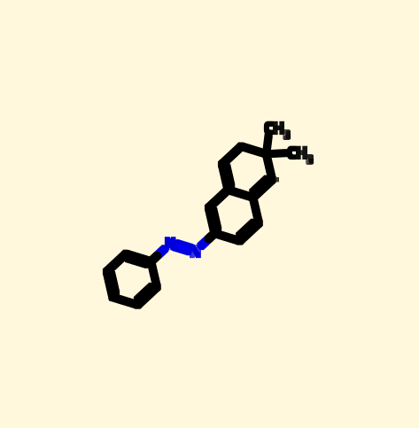 CC1(C)[C]=c2ccc(N=Nc3ccccc3)cc2=CC1